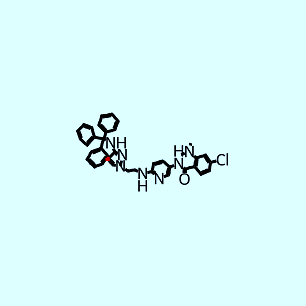 CN(C)c1cc(Cl)ccc1C(=O)Nc1ccc(NCCn2ccc(NC(c3ccccc3)(c3ccccc3)c3ccccc3)n2)nc1